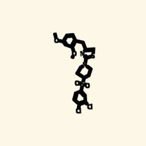 COc1ccc(Cc2csc(N3CCC(S(=O)(=O)c4ccc(Cl)c(Cl)c4)CC3)n2)c(OC)c1